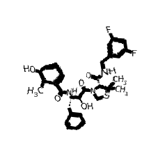 Cc1c(O)cccc1C(=O)N[C@@H](Cc1ccccc1)[C@H](O)C(=O)N1CSC(C)(C)[C@H]1C(=O)NCc1cc(F)cc(F)c1